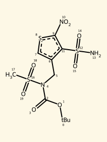 CC(C)(C)OC(=O)N(Cc1csc([N+](=O)[O-])c1S(N)(=O)=O)S(C)(=O)=O